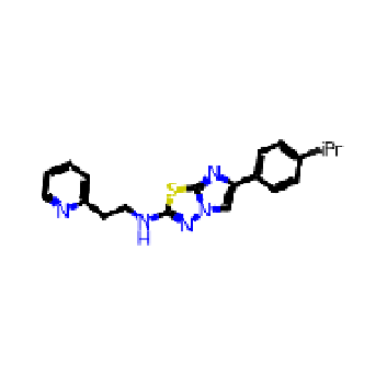 CC(C)c1ccc(-c2cn3nc(NCCc4ccccn4)sc3n2)cc1